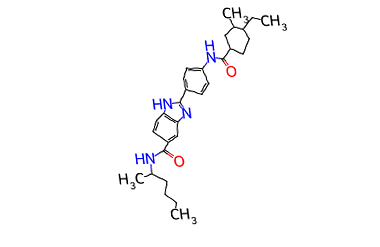 CCCCC(C)NC(=O)c1ccc2[nH]c(-c3ccc(NC(=O)C4CCC(CC)C(C)C4)cc3)nc2c1